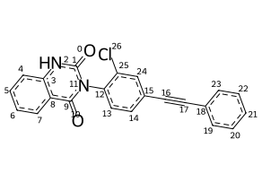 O=c1[nH]c2ccccc2c(=O)n1-c1ccc(C#Cc2ccccc2)cc1Cl